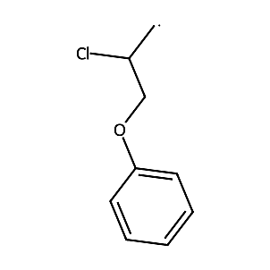 [CH2]C(Cl)COc1ccccc1